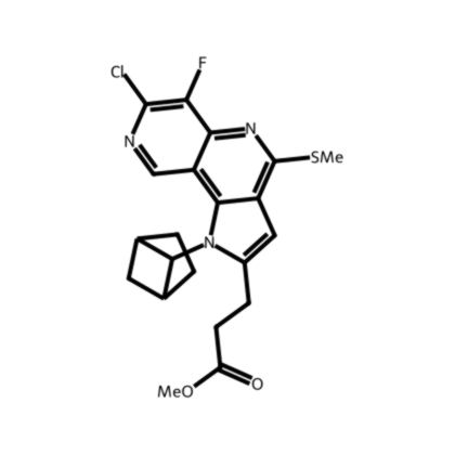 COC(=O)CCc1cc2c(SC)nc3c(F)c(Cl)ncc3c2n1C1C2CCC1C2